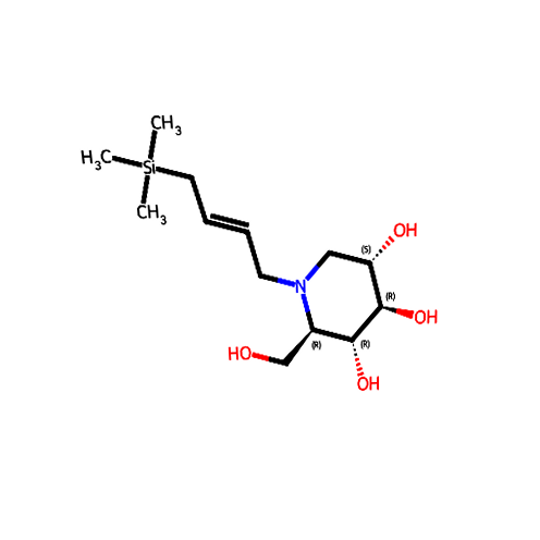 C[Si](C)(C)CC=CCN1C[C@H](O)[C@@H](O)[C@H](O)[C@H]1CO